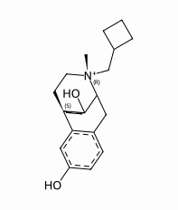 C[N@+]1(CC2CCC2)CC[C@]23CCCCC2(O)C1Cc1ccc(O)cc13